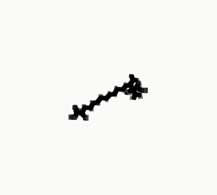 CC(C)C(CCCCCCCCCCCC(Cl)C(=O)O)C(Cl)(C(=O)O)C(C)C